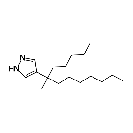 CCCCCCCC(C)(CCCCC)c1cn[nH]c1